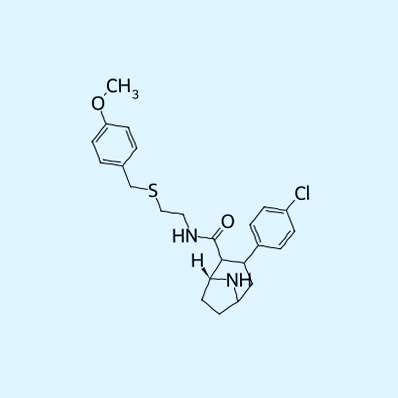 COc1ccc(CSCCNC(=O)C2C(c3ccc(Cl)cc3)CC3CC[C@H]2N3)cc1